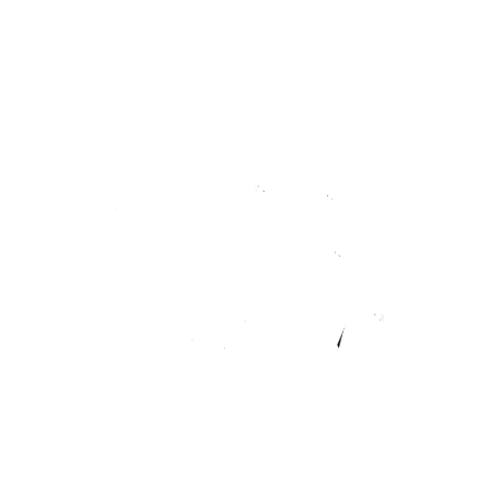 COCC[C@H]1CN(C2=Nc3ccc(F)cc3Nc3ccc(C4CC4)cc32)CCN1.O=C(O)CCC(=O)O